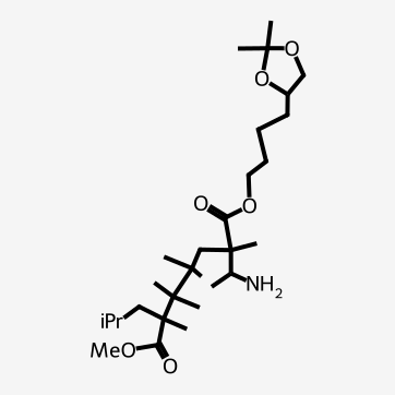 COC(=O)C(C)(CC(C)C)C(C)(C)C(C)(C)CC(C)(C(=O)OCCCCC1COC(C)(C)O1)C(C)N